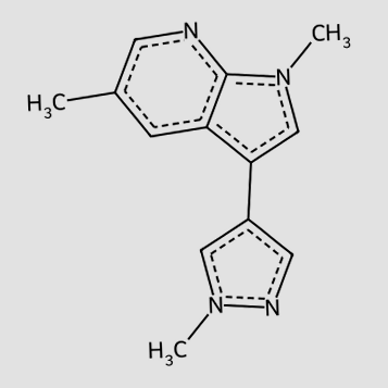 Cc1cnc2c(c1)c(-c1cnn(C)c1)cn2C